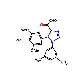 COc1cc(C2C(C(=O)C=O)N=CN2c2cc(C)cc(C)c2)cc(OC)c1OC